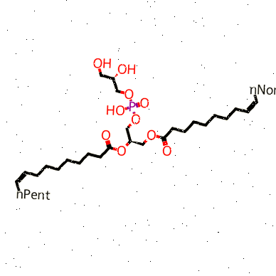 CCCCC/C=C\CCCCCCCC(=O)O[C@H](COC(=O)CCCCCCC/C=C\CCCCCCCCC)COP(=O)(O)OC[C@@H](O)CO